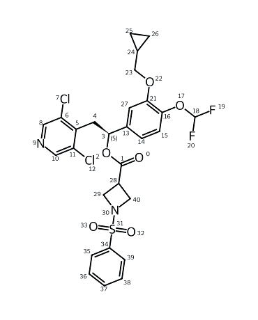 O=C(O[C@@H](Cc1c(Cl)cncc1Cl)c1ccc(OC(F)F)c(OCC2CC2)c1)C1CN(S(=O)(=O)c2ccccc2)C1